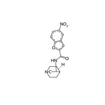 O=C(N[C@@H]1CN2CCC1CC2)c1cc2cc([N+](=O)[O-])ccc2o1